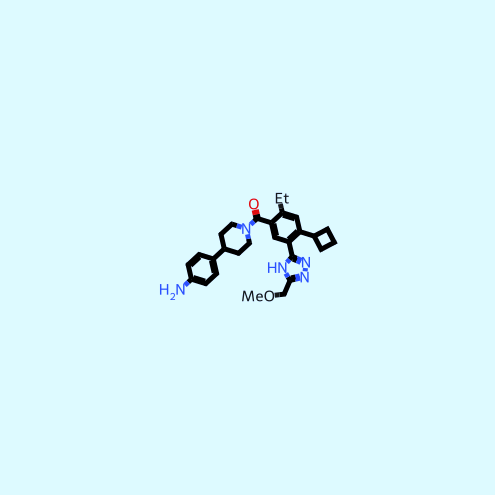 CCc1cc(C2CCC2)c(-c2nnc(COC)[nH]2)cc1C(=O)N1CCC(c2ccc(N)cc2)CC1